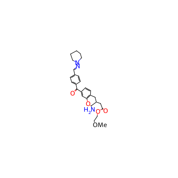 COCCOC(=O)CC1Cc2ccc(C(=O)c3ccc(C=NN4CCCCC4)cc3)cc2OC1N